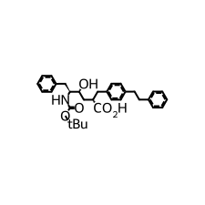 CC(C)(C)OC(=O)N[C@@H](Cc1ccccc1)[C@@H](O)C[C@@H](Cc1ccc(CCc2ccccc2)cc1)C(=O)O